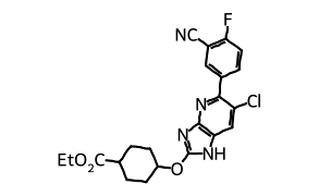 CCOC(=O)C1CCC(Oc2nc3nc(-c4ccc(F)c(C#N)c4)c(Cl)cc3[nH]2)CC1